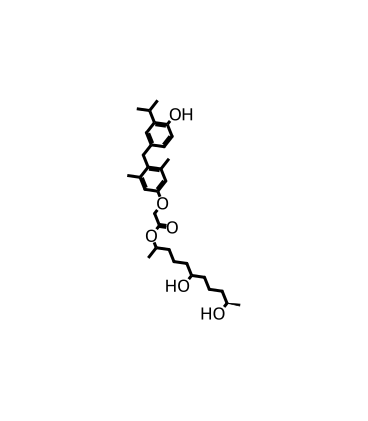 Cc1cc(OCC(=O)OC(C)CCCC(O)CCC[C@@H](C)O)cc(C)c1Cc1ccc(O)c(C(C)C)c1